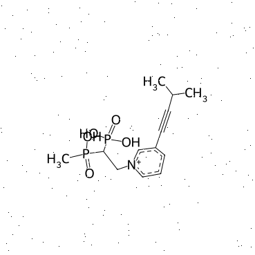 CC(C)C#Cc1ccc[n+](CC(P(C)(=O)O)P(=O)(O)O)c1